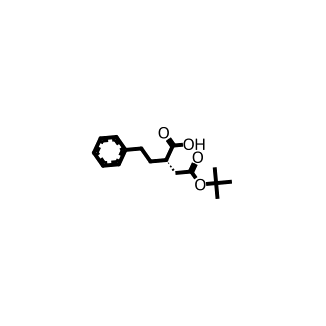 CC(C)(C)OC(=O)C[C@H](CCc1ccccc1)C(=O)O